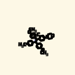 COc1ccc(/C(=C(/c2ccc(OC)cc2)c2ccc(N3CCOCC3)cc2C)c2ccc(C)cc2)cc1